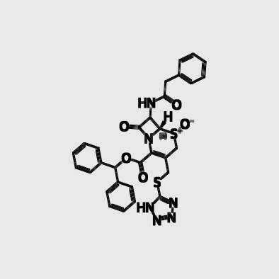 O=C(Cc1ccccc1)NC1C(=O)N2C(C(=O)OC(c3ccccc3)c3ccccc3)=C(CSc3nnn[nH]3)C[S+]([O-])[C@@H]12